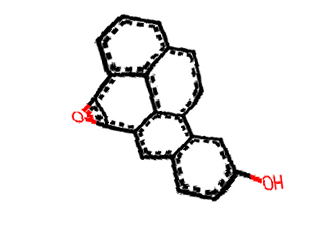 Oc1ccc2cc3c4oc4c4cccc5ccc(c2c1)c3c54